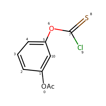 CC(=O)Oc1cccc(OC(=S)Cl)c1